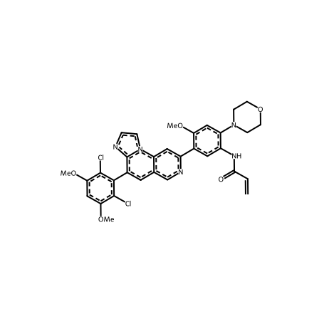 C=CC(=O)Nc1cc(-c2cc3c(cn2)cc(-c2c(Cl)c(OC)cc(OC)c2Cl)c2nccn23)c(OC)cc1N1CCOCC1